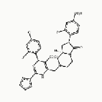 CCOC(=O)C1=C(CN2CCN3C(=O)N(c4ccc(C(=O)O)cc4F)C[C@@H]3C2)NC(c2nccs2)=N[C@H]1c1ccc(Cl)cc1Cl